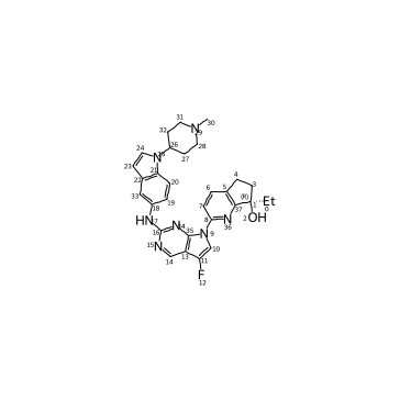 CC[C@@]1(O)CCc2ccc(-n3cc(F)c4cnc(Nc5ccc6c(ccn6C6CCN(C)CC6)c5)nc43)nc21